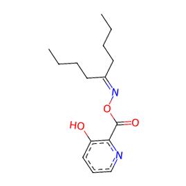 CCCCC(CCCC)=NOC(=O)c1ncccc1O